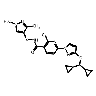 Cc1nn(C)cc1SNC(=O)c1ccc(-n2ccc(OC(C3CC3)C3CC3)n2)nc1Cl